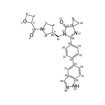 O=C(C1CCO1)N1CC[C@@H](CN2C(=O)C3(CC3)N=C2c2ccc(-c3ccc4[nH]ncc4c3)cc2)C1